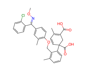 CON=C(c1ccc(OCc2c(C)cccc2C2(C(=O)O)C=CC(C)=C(C(=O)O)C2)c(C)c1)c1ccccc1Cl